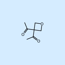 CC(=O)C1(C(C)=O)COC1